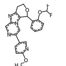 COc1ccc(-c2cn3c4c(nc3cn2)CCOC4c2ccccc2OC(F)F)cn1